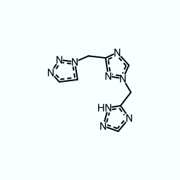 c1cn(Cc2ncn(Cc3ncn[nH]3)n2)nn1